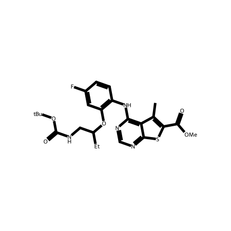 CCC(CNC(=O)OC(C)(C)C)Oc1cc(F)ccc1Nc1ncnc2sc(C(=O)OC)c(C)c12